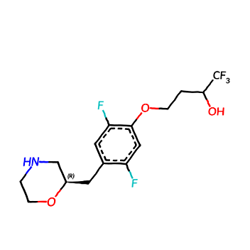 OC(CCOc1cc(F)c(C[C@@H]2CNCCO2)cc1F)C(F)(F)F